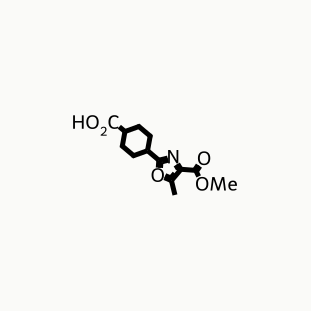 COC(=O)c1nc(C2CCC(C(=O)O)CC2)oc1C